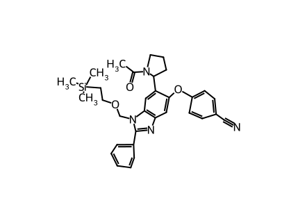 CC(=O)N1CCCC1c1cc2c(cc1Oc1ccc(C#N)cc1)nc(-c1ccccc1)n2COCC[Si](C)(C)C